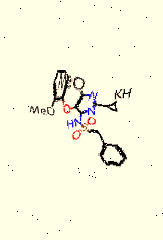 COc1ccccc1Oc1c(NS(=O)(=O)C=Cc2ccccc2)nc(C2CC2)nc1OC.[KH]